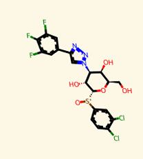 [O-][S+](c1ccc(Cl)c(Cl)c1)[C@H]1O[C@H](CO)[C@H](O)[C@H](n2cc(-c3cc(F)c(F)c(F)c3)nn2)[C@H]1O